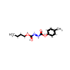 CCCCOC(=O)/N=N/C(=O)Oc1ccc(C)cc1